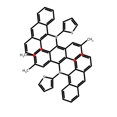 Cc1ccc2c(N(c3cccs3)c3c4ccccc4cc4ccccc34)c3cc(C)c(C)cc3c(N(c3cccs3)c3c4ccccc4cc4ccccc34)c2c1